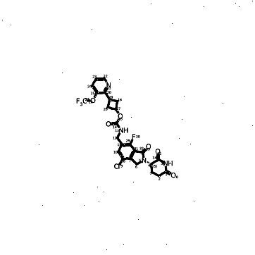 O=C1CC[C@H](N2Cc3c(Cl)cc(CNC(=O)OC4CC(c5ncccc5OC(F)(F)F)C4)c(F)c3C2=O)C(=O)N1